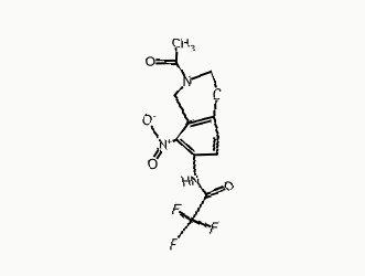 CC(=O)N1CCc2ccc(NC(=O)C(F)(F)F)c([N+](=O)[O-])c2C1